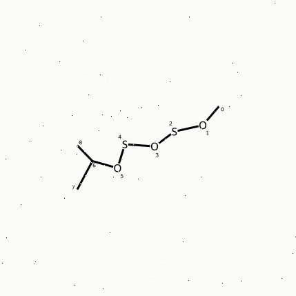 COSOSOC(C)C